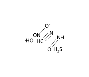 C#N.N=O.O=[NH+][O-].S.[OH]